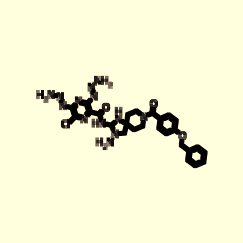 NN=Nc1nc(N=NN)c(C(=O)NC2NC3(CCN(C(=O)c4ccc(OCc5ccccc5)cc4)CC3)CN2N)nc1Cl